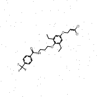 CCc1cc(OCC=C(Cl)Cl)cc(CC)c1OCCCNC(=O)c1ccc(C(F)(F)F)cc1